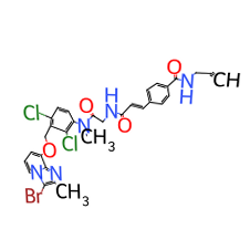 C#CCNC(=O)c1ccc(C=CC(=O)NCC(=O)N(C)c2ccc(Cl)c(COc3cccn4c(Br)c(C)nc34)c2Cl)cc1